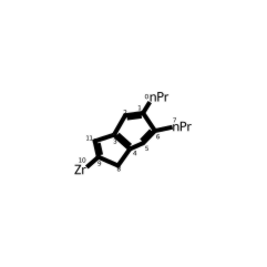 CCCc1cc2c(cc1CCC)C[C]([Zr])=C2